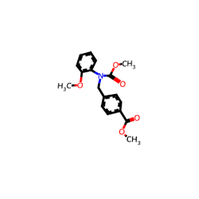 COC(=O)c1ccc(CN(C(=O)OC)c2ccccc2OC)cc1